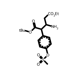 CCOC(=O)CC(N)C(C(=O)OC(C)(C)C)c1ccc(OS(C)(=O)=O)cc1